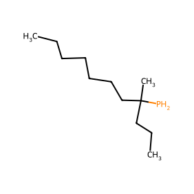 CCCCCCCC(C)(P)CCC